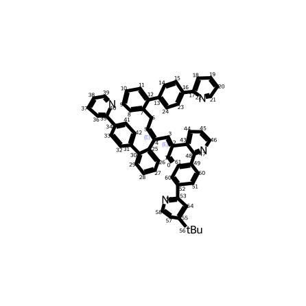 C=C/C(=C\C(=C/Cc1ccccc1-c1ccc(-c2ccccn2)cc1)c1ccccc1-c1ccc(-c2ccccn2)cc1)c1cccnc1-c1ccc(-c2cc(C(C)(C)C)ccn2)cc1